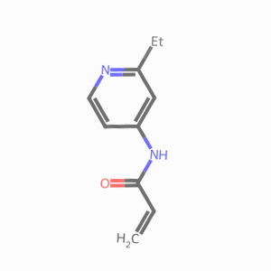 C=CC(=O)Nc1ccnc(CC)c1